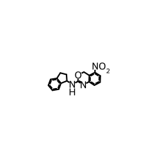 O=[N+]([O-])c1cccc2c1COC(NC1CCc3ccccc31)=N2